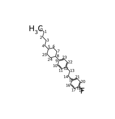 CCCCCC1CCC(c2ccc(CCc3ccc(F)cc3)cc2)CC1